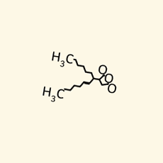 CCCCCC=CC(CCCCCC)C1CC(=O)OC1=O